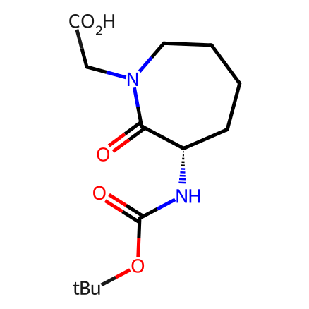 CC(C)(C)OC(=O)N[C@H]1CCCCN(CC(=O)O)C1=O